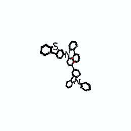 c1ccc(-c2ccccc2N(c2ccc(-c3ccc4c(c3)c3ccccc3n4-c3ccccc3)cc2)c2ccc3c(c2)sc2ccccc23)cc1